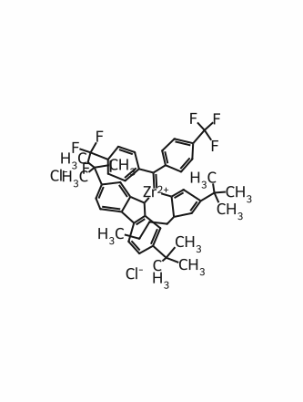 CCCCC1C=C(C(C)(C)C)C=[C]1[Zr+2](=[C](c1ccc(C(F)(F)F)cc1)c1ccc(C(F)(F)F)cc1)[CH]1c2cc(C(C)(C)C)ccc2-c2ccc(C(C)(C)C)cc21.[Cl-].[Cl-]